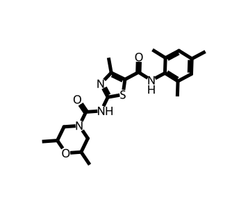 Cc1cc(C)c(NC(=O)c2sc(NC(=O)N3CC(C)OC(C)C3)nc2C)c(C)c1